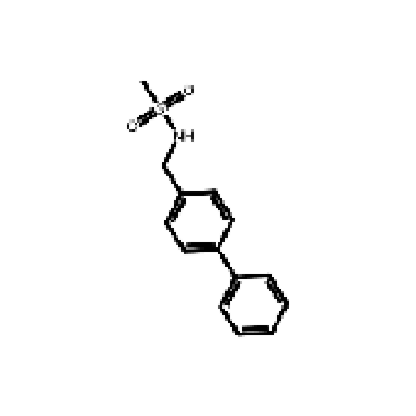 CS(=O)(=O)NCc1ccc(-c2cc[c]cc2)cc1